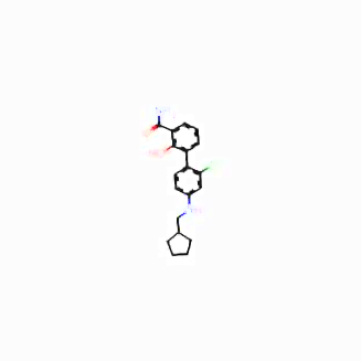 NC(=O)c1cccc(-c2ccc(NCC3CCCC3)cc2Cl)c1O